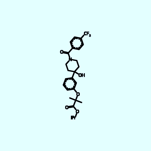 CC(C)OC(=O)C(C)(C)Oc1cccc(C2(O)CCN(C(=O)c3ccc(C(F)(F)F)cc3)CC2)c1